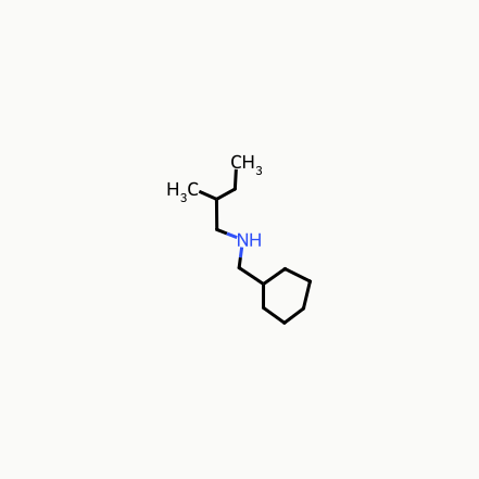 CCC(C)CNCC1CCCCC1